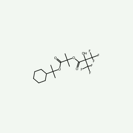 CC(C)(OC(=O)C(O)(C(F)(F)F)C(F)(F)F)C(=O)OC(C)(C)C1CCCCC1